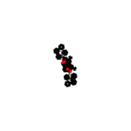 CC(C)c1cc2c(c3ccc(N(c4ccccc4)c4cccc5c4oc4c(C6CCCCC6)cccc45)cc13)C1(c3ccccc3-c3ccccc31)c1c-2cc(C(C)C)c2cc(N(c3ccccc3)c3cccc4c3oc3c(C5CCCCC5)cccc34)ccc12